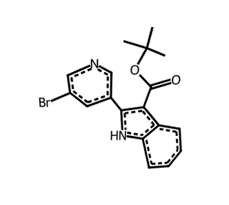 CC(C)(C)OC(=O)c1c(-c2cncc(Br)c2)[nH]c2ccccc12